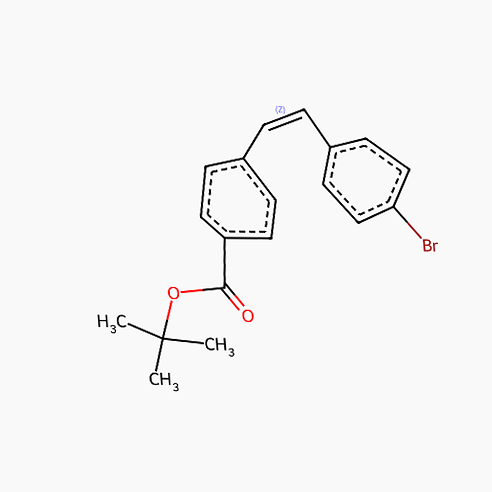 CC(C)(C)OC(=O)c1ccc(/C=C\c2ccc(Br)cc2)cc1